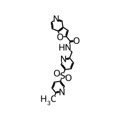 Cc1ccc(S(=O)(=O)c2ccc(CNC(=O)c3cc4cnccc4o3)nc2)cn1